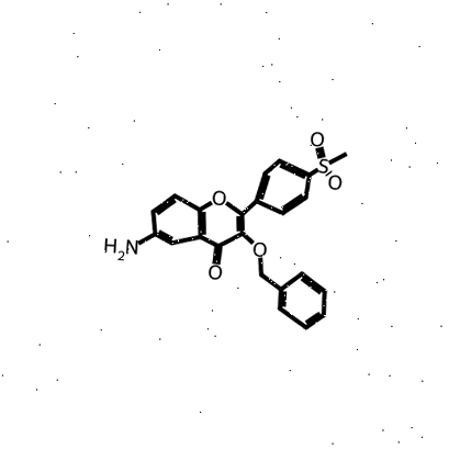 CS(=O)(=O)c1ccc(-c2oc3ccc(N)cc3c(=O)c2OCc2ccccc2)cc1